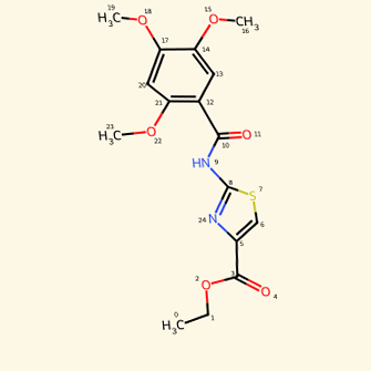 CCOC(=O)c1csc(NC(=O)c2cc(OC)c(OC)cc2OC)n1